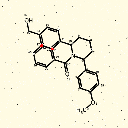 COc1ccc(C2CCCC(c3ccc(CO)cc3)N2C(=O)c2ccccc2)cc1